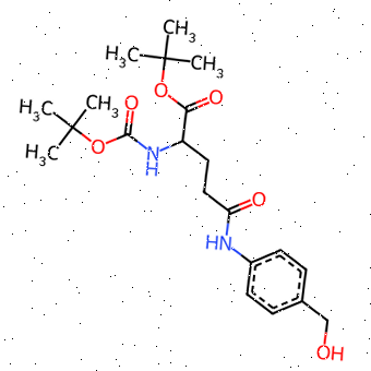 CC(C)(C)OC(=O)NC(CCC(=O)Nc1ccc(CO)cc1)C(=O)OC(C)(C)C